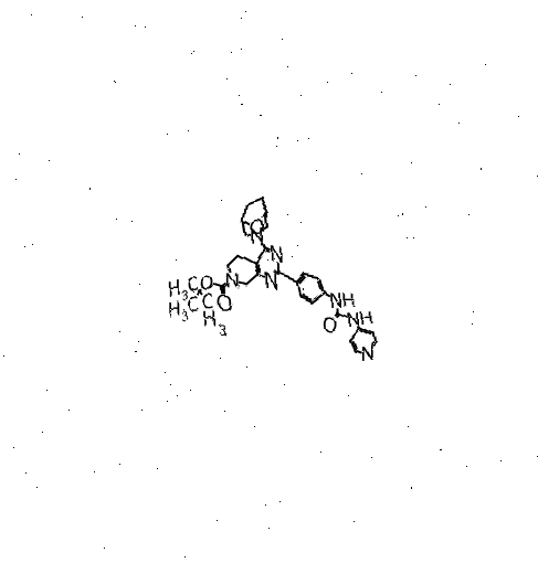 CC(C)(C)OC(=O)N1CCc2c(nc(-c3ccc(NC(=O)Nc4ccncc4)cc3)nc2N2CC3CCC(C2)O3)C1